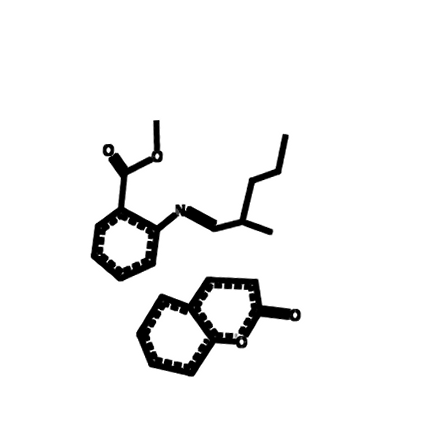 CCCC(C)/C=N/c1ccccc1C(=O)OC.O=c1ccc2ccccc2o1